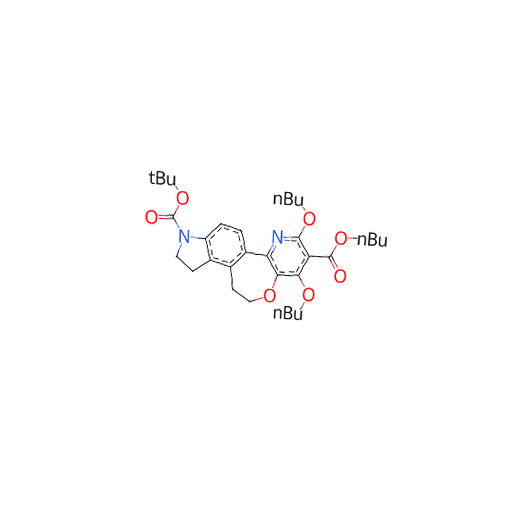 CCCCOC(=O)c1c(OCCCC)nc2c(c1OCCCC)OCCc1c-2ccc2c1CCN2C(=O)OC(C)(C)C